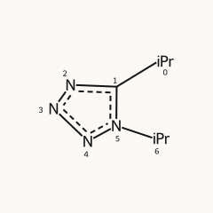 CC(C)c1nnnn1C(C)C